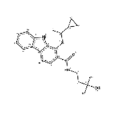 CC(Nc1c(C(=O)NCCC(C)(C)O)cnc2c1[nH]c1ccccc12)C1CC1